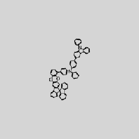 C1=C(c2ccc(N(c3ccccc3)c3ccc(-c4cccc5c4Oc4cc6c(cc4O5)-c4ccccc4C64c5ccccc5-c5ccccc54)cc3)cc2)CC2C(=C1)N(c1ccccc1)c1ccccc12